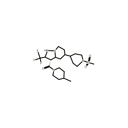 CC1CCN(C(=O)[C@H]2C3CC(C4CCN(S(C)(=O)=O)CC4)CCN3NC2C(F)(F)F)CC1